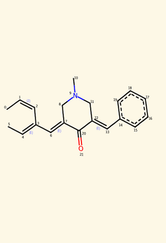 C\C=C/C(=C\C)/C=C1\CN(C)C/C(=C\c2ccccc2)C1=O